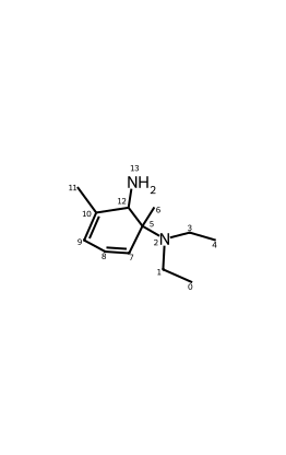 CCN(CC)C1(C)C=CC=C(C)C1N